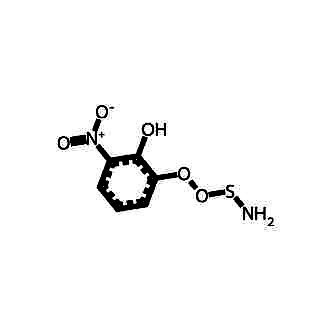 NSOOc1cccc([N+](=O)[O-])c1O